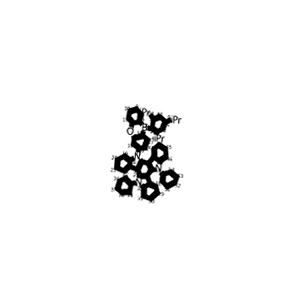 CC(C)c1cc(C(C)C)c(B2c3ccccc3Oc3cc(-n4c5ccccc5c5c6c(c7ccccc7n6-c6ccccc6)c6c(c7ccccc7n6-c6ccccc6)c54)ccc32)c(C(C)C)c1